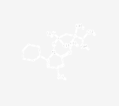 Cc1cc(C2CCCCC2)n(OC(C)(C)CC(C)(C)C(C)C)c(=O)c1